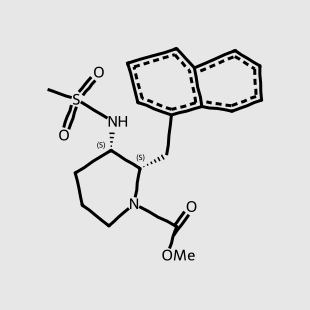 COC(=O)N1CCC[C@H](NS(C)(=O)=O)[C@@H]1Cc1cccc2ccccc12